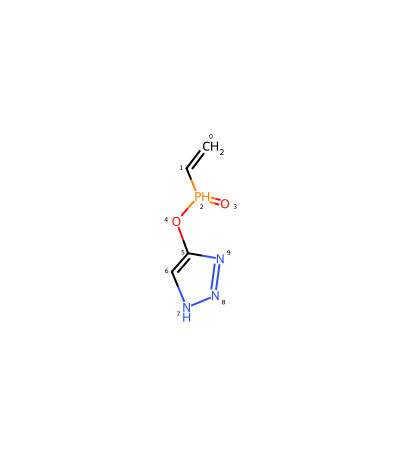 C=C[PH](=O)Oc1c[nH]nn1